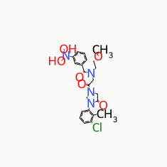 COCCN(CC(=O)N1CC(=O)N(c2cccc(Cl)c2C)C1)C(=O)c1cccc(N(O)O)c1